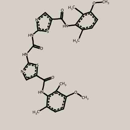 COc1ccc(C)c(NC(=O)c2cnc(NC(=O)Nc3ncc(C(=O)Nc4c(C)ccc(OC)c4C)s3)s2)c1C